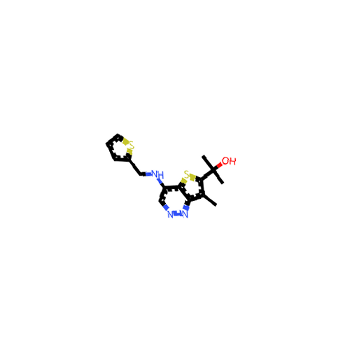 Cc1c(C(C)(C)O)sc2c(NCc3cccs3)cnnc12